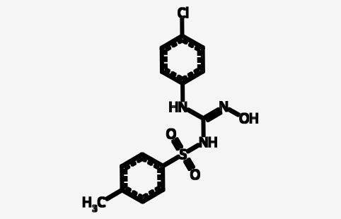 Cc1ccc(S(=O)(=O)N/C(=N\O)Nc2ccc(Cl)cc2)cc1